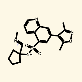 C/N=C/C1(NS(=O)(=O)c2cc(-c3c(C)noc3C)cc3ncccc23)CCCC1